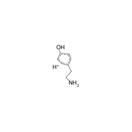 NCCc1ccc(O)cc1.[H+]